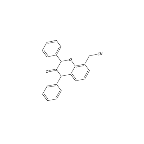 N#CCc1cccc2c1OC(c1ccccc1)C(=O)C2c1ccccc1